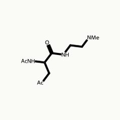 CNCCNC(=O)C(CC(C)=O)NC(C)=O